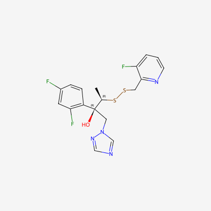 C[C@@H](SSCc1ncccc1F)[C@](O)(Cn1cncn1)c1ccc(F)cc1F